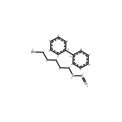 CC(C)CCCCCOP=O.c1ccc(-c2ccccc2)cc1